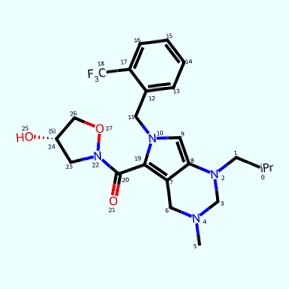 CC(C)CN1CN(C)Cc2c1cn(Cc1ccccc1C(F)(F)F)c2C(=O)N1C[C@H](O)CO1